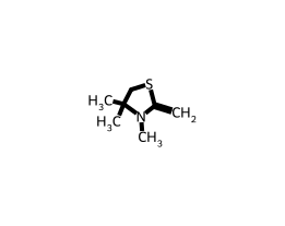 C=C1SCC(C)(C)N1C